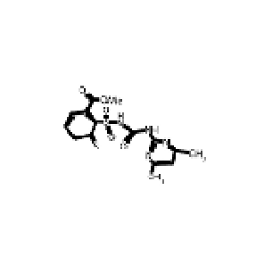 COC(=O)C1=C(S(=O)(=O)NC(=O)Nc2nc(C)cc(C)n2)C(=S)CC=C1